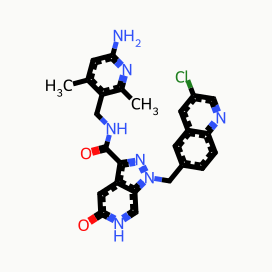 Cc1cc(N)nc(C)c1CNC(=O)c1nn(Cc2ccc3ncc(Cl)cc3c2)c2c[nH]c(=O)cc12